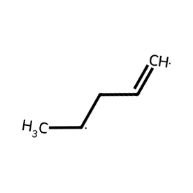 [CH]=CC[CH]C